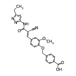 CCc1nnc(NC(=O)/C(C#N)=C/c2ccc(OCc3ccc(C(=O)O)cc3)c(OC)c2)s1